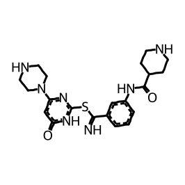 N=C(Sc1nc(N2CCNCC2)cc(=O)[nH]1)c1cccc(NC(=O)C2CCNCC2)c1